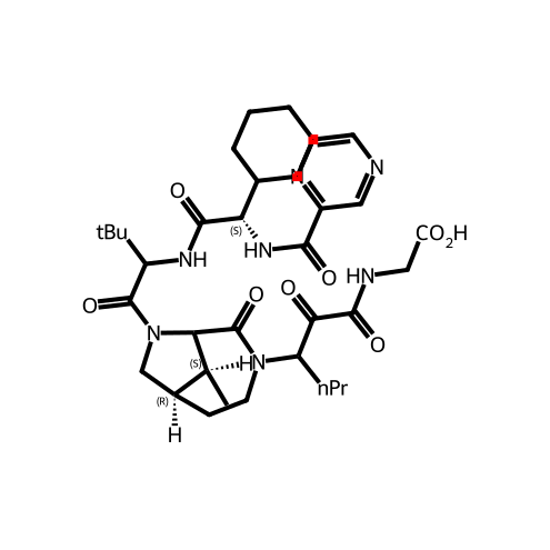 CCCC(C(=O)C(=O)NCC(=O)O)N1CC[C@H]2CN(C(=O)C(NC(=O)[C@@H](NC(=O)c3cnccn3)C3CCCCC3)C(C)(C)C)C(C1=O)[C@H]2C